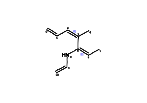 C=C/C=C(C)\C(=C/C)NC=C